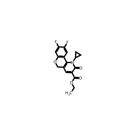 CCOC(=O)c1cc2c(n(C3CC3)c1=O)-c1cc(F)c(F)cc1OC2